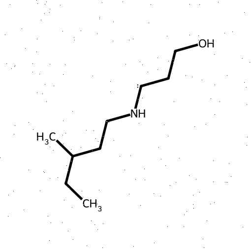 CCC(C)CCN[C]CCO